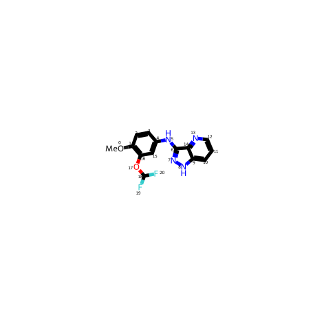 COc1ccc(Nc2n[nH]c3cccnc23)cc1OC(F)F